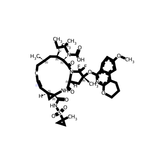 CCC(C)N(C(=O)O)[C@@H]1C(=O)N2[C@@H](C[C@@](C)(Oc3nc4c(c5cc(OC)ccc35)CCCO4)C2(F)F)C(=O)N[C@]2(C(=O)NS(=O)(=O)C3(C)CC3)C[C@H]2/C=C\CC[C@H](C)C[C@H]1CC